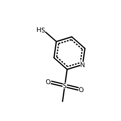 CS(=O)(=O)c1cc(S)ccn1